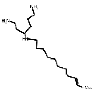 CCCCCCCCC=CCCCCCCCCNC(CCN)CCCN